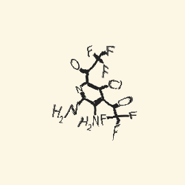 Nc1nc(C(=O)C(F)(F)F)c(Cl)c(C(=O)C(F)(F)F)c1N